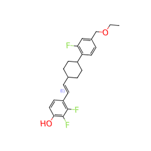 CCOCc1ccc(C2CCC(/C=C/c3ccc(O)c(F)c3F)CC2)c(F)c1